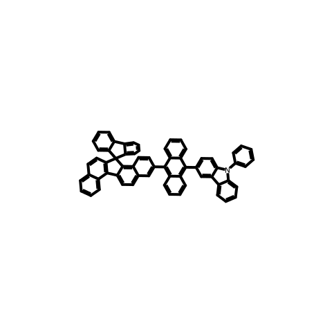 c1ccc(-n2c3ccccc3c3cc(-c4c5ccccc5c(-c5ccc6c7c(ccc6c5)-c5c(ccc6ccccc56)C75c6ccccc6-c6ccccc65)c5ccccc45)ccc32)cc1